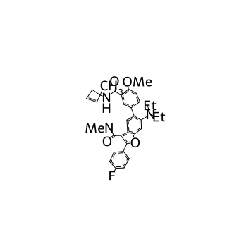 CCN(CC)c1cc2oc(-c3ccc(F)cc3)c(C(=O)NC)c2cc1-c1ccc(OC)c(C(=O)NC2(C)C=CC2)c1